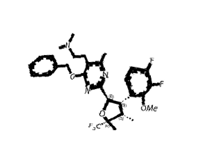 COc1c([C@H]2[C@H](c3nc(C)c(CCN(C)C)c(OCc4ccccc4)n3)O[C@@](C)(C(F)(F)F)[C@H]2C)ccc(F)c1F